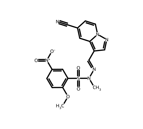 COc1ccc([N+](=O)[O-])cc1S(=O)(=O)N(C)N=Cc1cnn2ccc(C#N)cc12